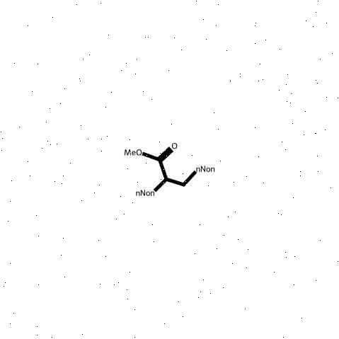 CCCCCCCCCCC(CCCCCCCCC)C(=O)OC